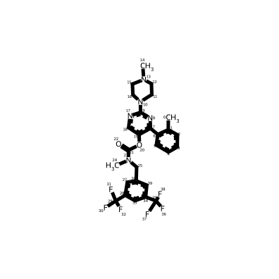 Cc1ccccc1-c1nc(N2CCN(C)CC2)ncc1OC(=O)N(C)Cc1cc(C(F)(F)F)cc(C(F)(F)F)c1